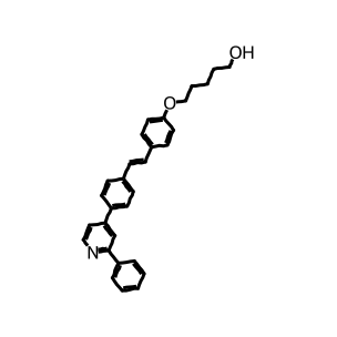 OCCCCCOc1ccc(C=Cc2ccc(-c3ccnc(-c4ccccc4)c3)cc2)cc1